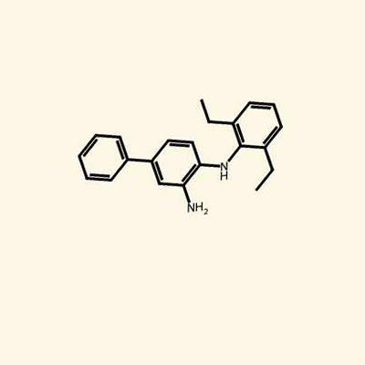 CCc1cccc(CC)c1Nc1ccc(-c2ccccc2)cc1N